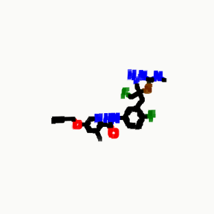 C#CCOc1cnc(C(=O)Nc2ccc(F)c(C[C@](C)(CF)S/C(N)=N\C)c2)c(C)c1